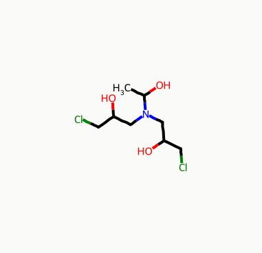 CC(O)N(CC(O)CCl)CC(O)CCl